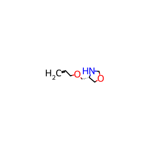 C=CCOC[C@H]1COCN1